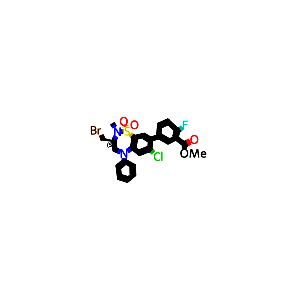 COC(=O)c1cc(-c2cc3c(cc2Cl)N(c2ccccc2)C[C@@H](CBr)N(C)S3(=O)=O)ccc1F